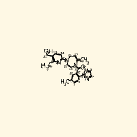 Cc1ccc(-n2nccn2)c(C(=O)N2CCN(c3ccc(CO)c(C)n3)CC[C@H]2C)c1